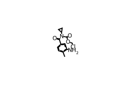 Cc1ccc(C(=O)N(C(=O)OCCl)C2CC2)cc1N